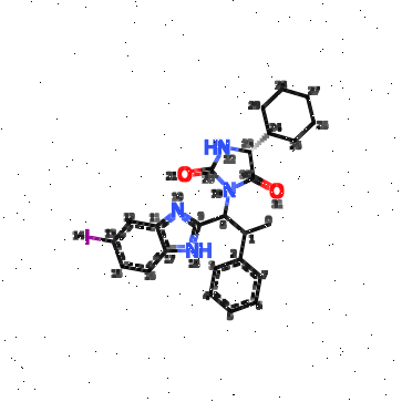 CC(c1ccccc1)C(c1nc2cc(I)ccc2[nH]1)N1C(=O)N[C@H](C2CCCCC2)C1=O